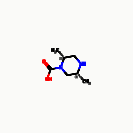 C[C@@H]1CN(C(=O)O)[C@H](C)CN1